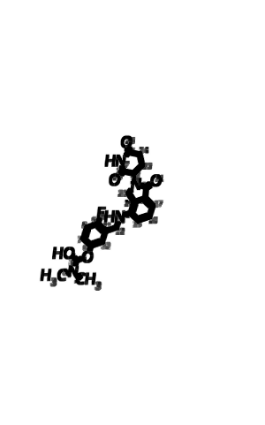 CN(C)C(O)Oc1ccc(F)c(CNc2cccc3c2CN([C@H]2CCC(=O)NC2=O)C3=O)c1